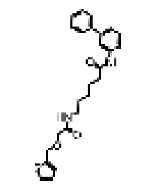 O=C(COCc1cccs1)NCCCCCC(=O)Nc1cccc(-c2ccccc2)c1